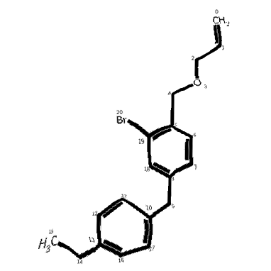 C=CCOCc1ccc(Cc2ccc(CC)cc2)cc1Br